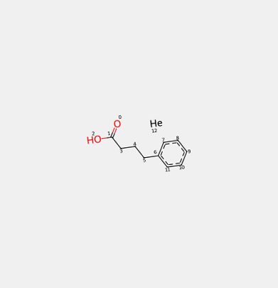 O=C(O)CCCc1ccccc1.[He]